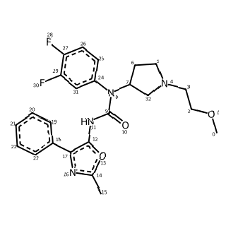 COCCN1CCC(N(C(=O)Nc2oc(C)nc2-c2ccccc2)c2ccc(F)c(F)c2)C1